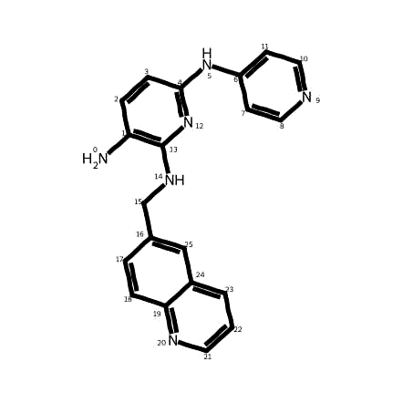 Nc1ccc(Nc2ccncc2)nc1NCc1ccc2ncccc2c1